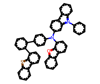 c1ccc(-n2c3ccccc3c3ccc(N(c4ccc(-c5ccccc5-c5cccc6c5sc5ccccc56)cc4)c4cccc5c4oc4ccccc45)cc32)cc1